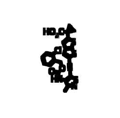 Cc1nsc(C#Cc2cc3cc(C4(C(=O)O)CC4)sc3s2)c1NC(=O)OCc1ccccc1Cl